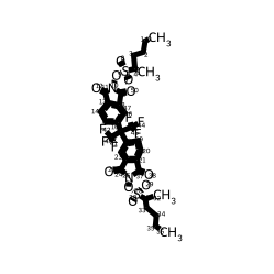 CCCCC(C)S(=O)(=O)ON1C(=O)c2ccc(C(c3ccc4c(c3)C(=O)N(OS(=O)(=O)C(C)CCCC)C4=O)(C(F)(F)F)C(F)(F)F)cc2C1=O